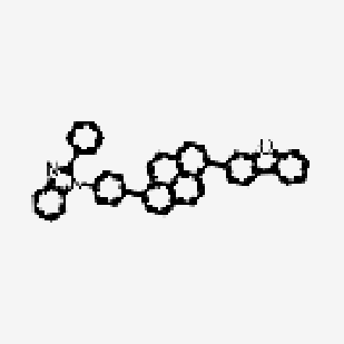 c1ccc(-c2nc3ccccc3n2-c2ccc(-c3ccc4ccc5c(-c6ccc7c(c6)oc6ccccc67)ccc6ccc3c4c65)cc2)cc1